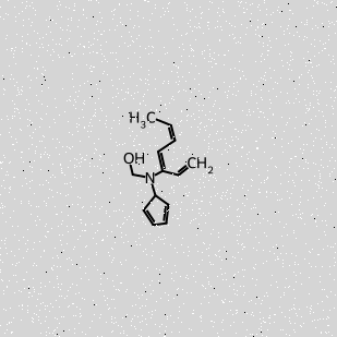 C=C/C(=C\C=C/C)N(CO)C1C=CC=C1